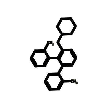 Cc1ccccc1-c1cccc(CN2CCCCC2)c1-c1ccccc1C